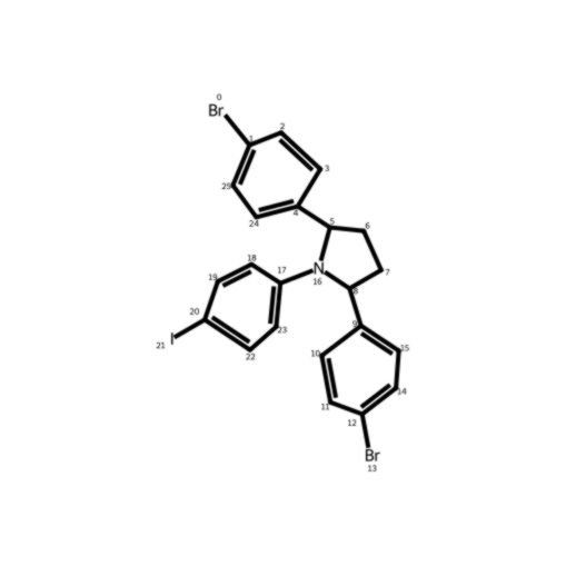 Brc1ccc(C2CCC(c3ccc(Br)cc3)N2c2ccc(I)cc2)cc1